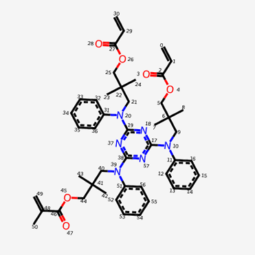 C=CC(=O)OCC(C)(C)CN(c1ccccc1)c1nc(N(CC(C)(C)COC(=O)C=C)c2ccccc2)nc(N(CC(C)(C)COC(=O)C(=C)C)c2ccccc2)n1